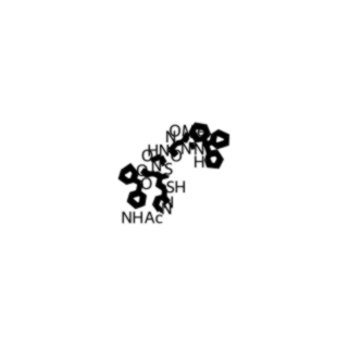 CON=C(C(=O)NC1C(=O)N2C(C(=O)OC(c3ccccc3)c3ccccc3)=C(C=C(S)c3ccc(NC(C)=O)nn3)CSC12)c1csc(NC(c2ccccc2)(c2ccccc2)c2ccccc2)n1